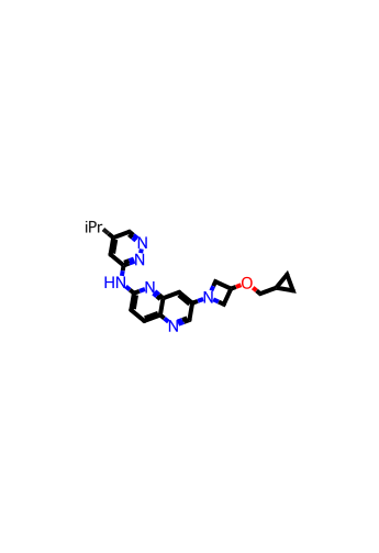 CC(C)c1cnnc(Nc2ccc3ncc(N4CC(OCC5CC5)C4)cc3n2)c1